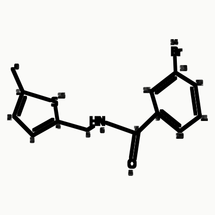 Cc1ccc(CNC(=O)c2cccc(Br)c2)s1